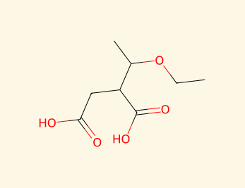 CCOC(C)C(CC(=O)O)C(=O)O